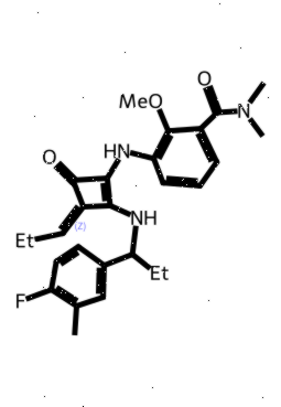 CC/C=C1\C(=O)C(Nc2cccc(C(=O)N(C)C)c2OC)=C1NC(CC)c1ccc(F)c(C)c1